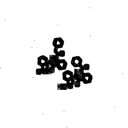 CCC1(NC(=O)c2ccccc2NC(=O)C2CCCCC2)C=CC=CC1C(=O)O.CCC1(NC(=O)c2ccccc2NC(=O)Cc2ccccc2)C=CC=CC1C(=O)O